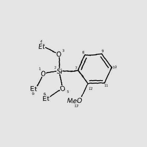 CCO[Si](OCC)(OCC)c1ccccc1OC